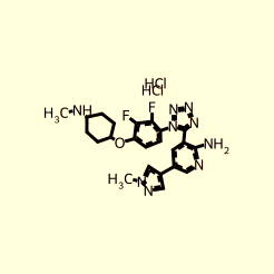 CNC1CCC(Oc2ccc(-n3nnnc3-c3cc(-c4cnn(C)c4)cnc3N)c(F)c2F)CC1.Cl.Cl